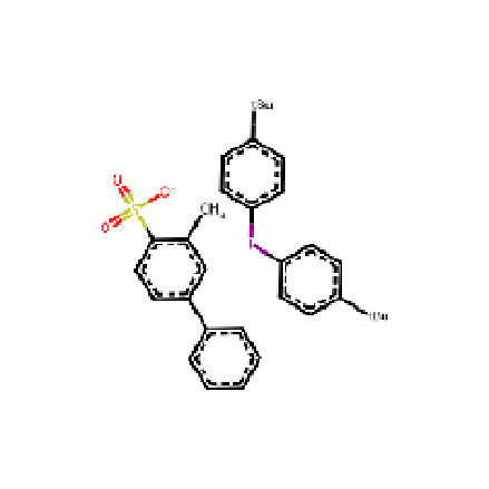 CC(C)(C)c1ccc([I+]c2ccc(C(C)(C)C)cc2)cc1.Cc1cc(-c2ccccc2)ccc1S(=O)(=O)[O-]